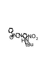 CC(C)(C)CNc1cc(N2CCN(C(=O)c3ccccc3)CC2)ccc1[N+](=O)[O-]